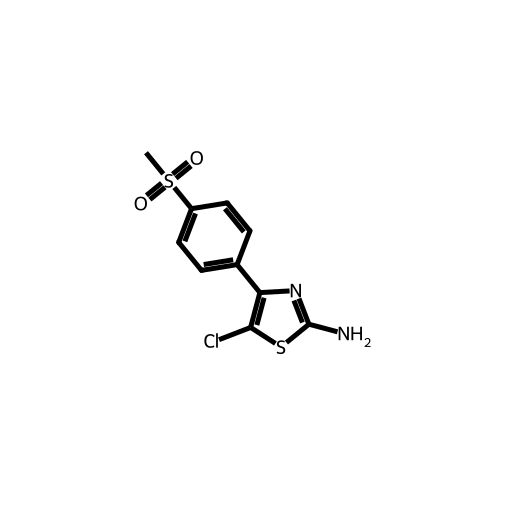 CS(=O)(=O)c1ccc(-c2nc(N)sc2Cl)cc1